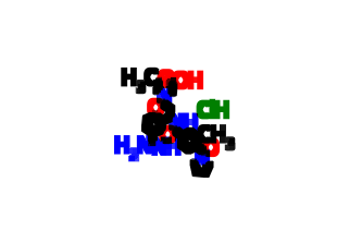 CCCN(CC(=O)O)C(=O)CC(NC(=O)c1ccc(C(=O)N2CCCC2)c(C)c1)c1cccc(C(=N)N)c1.Cl